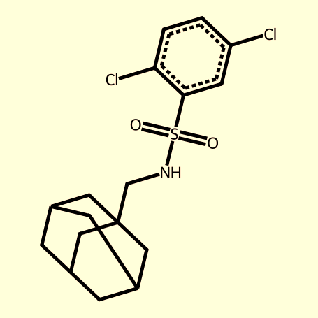 O=S(=O)(NCC12CC3CC(CC(C3)C1)C2)c1cc(Cl)ccc1Cl